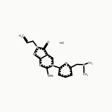 C=CCn1nc2nc(SC)n(-c3cccc(CN(C)C)n3)cc-2c1=O.Cl